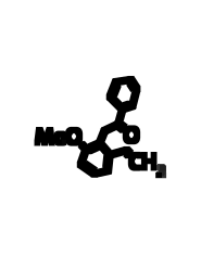 C=Cc1cccc(OC)c1CC(=O)c1ccccc1